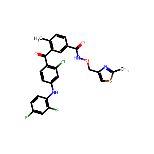 Cc1nc(CONC(=O)c2ccc(C)c(C(=O)c3ccc(Nc4ccc(F)cc4F)cc3Cl)c2)cs1